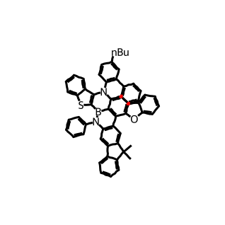 CCCCc1ccc(N2c3cc4c(oc5ccccc54)c4c3B(c3sc5ccccc5c32)N(c2ccccc2)c2cc3c(cc2-4)C(C)(C)c2ccccc2-3)c(-c2ccccc2)c1